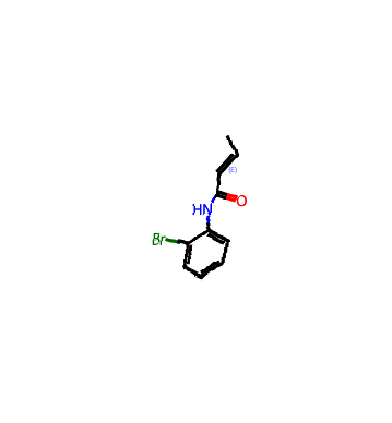 C/C=C/C(=O)Nc1ccccc1Br